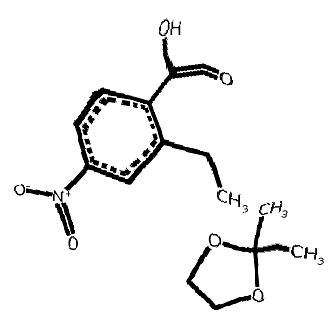 CC1(C)OCCO1.CCc1cc([N+](=O)[O-])ccc1C(=O)O